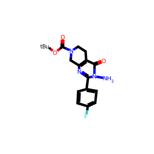 CC(C)(C)OC(=O)N1CCc2c(nc(-c3ccc(F)cc3)n(N)c2=O)C1